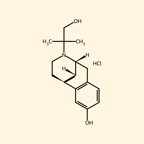 CC(C)(CO)N1CC[C@]23CCCC[C@H]2[C@H]1Cc1ccc(O)cc13.Cl